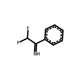 N=C(c1ccccc1)C(F)F